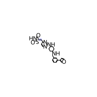 O=C1NC(=O)/C(=C/c2ccnc(N[C@H]3CC[C@H](NCc4cccc(-c5ccoc5)c4)CC3)n2)S1